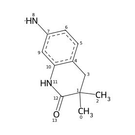 CC1(C)Cc2ccc([NH])cc2NC1=O